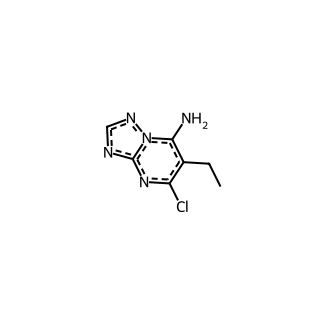 CCc1c(Cl)nc2ncnn2c1N